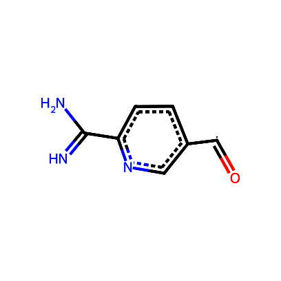 N=C(N)c1ccc([C]=O)cn1